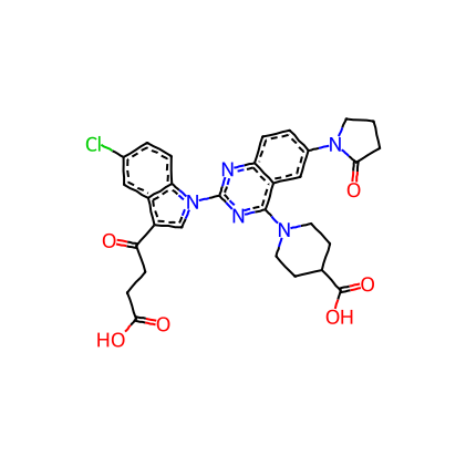 O=C(O)CCC(=O)c1cn(-c2nc(N3CCC(C(=O)O)CC3)c3cc(N4CCCC4=O)ccc3n2)c2ccc(Cl)cc12